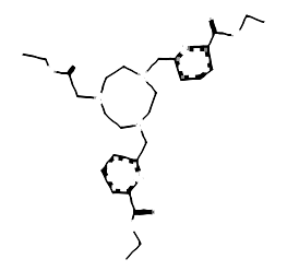 CCOC(=O)CN1CCN(Cc2cccc(C(=O)OCC)n2)CCN(Cc2cccc(C(=O)OCC)n2)CC1